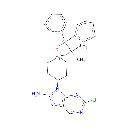 CC(C)(C)[Si](O[C@H]1CC[C@H](n2c(N)nc3cnc(Cl)nc32)CC1)(c1ccccc1)c1ccccc1